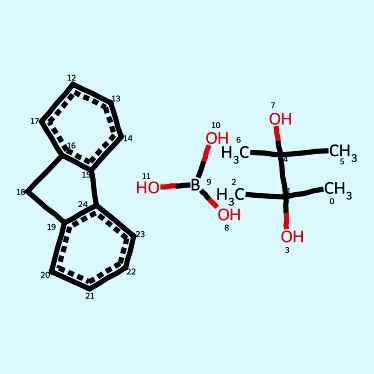 CC(C)(O)C(C)(C)O.OB(O)O.c1ccc2c(c1)Cc1ccccc1-2